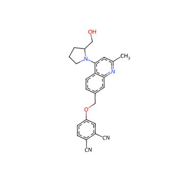 Cc1cc(N2CCCC2CO)c2ccc(COc3ccc(C#N)c(C#N)c3)cc2n1